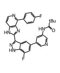 CC(C)(C)C(=O)Nc1cncc(-c2cc(F)c3[nH]nc(-c4nc5c(-c6ccc(F)cc6)nccc5[nH]4)c3c2)c1